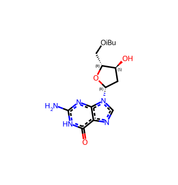 CC(C)COC[C@H]1O[C@@H](n2cnc3c(=O)[nH]c(N)nc32)C[C@@H]1O